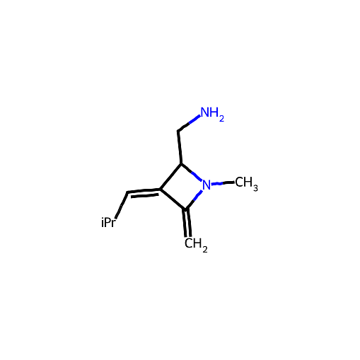 C=C1/C(=C\C(C)C)C(CN)N1C